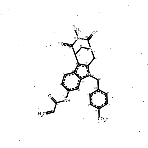 C=CC(=O)Nc1ccc2c3c(n(Cc4ccc(C(=O)O)cc4)c2c1)CN1CC3C(=O)N(C)C1=O